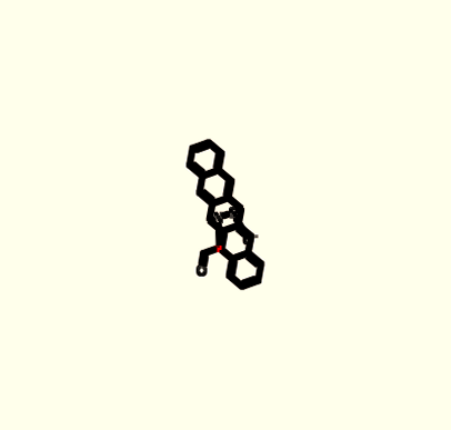 O=CCN1C2c3cc4ccccc4cc3C(c3cc4ccccc4cc32)[S+]1[O-]